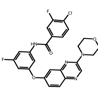 O=C(Nc1cc(F)cc(Oc2ccc3ncc(N4CCOCC4)nc3c2)c1)c1ccc(Cl)c(F)c1